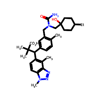 CCC1CCC(O)(CN(Cc2cc(C(c3ccc4c(nnn4C)c3C)C(C)(C)C(=O)O)ccc2C)C(N)=O)CC1